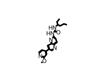 CCCC(CC)NC(=O)Nc1ccc2ncc(-c3ccnc(OC)c3)cc2n1